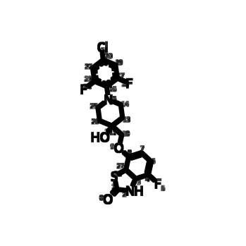 O=C1NC2C(F)=CC=C(OCC3(O)CCN(c4c(F)cc(Cl)cc4F)CC3)C2S1